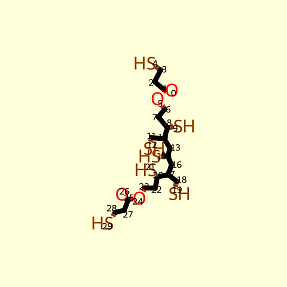 O=C(CCS)OCCC(S)C(CS)CC(S)CC(CS)C(S)CCOC(=O)CCS